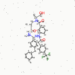 Cc1cccc(Cc2ccc(CN(C)C[C@H]3Oc4c(NC(=O)Cc5ccc(C(F)(F)F)cc5)cccc4C(=O)N([C@@H](C)CO)C[C@H]3C)cc2)c1